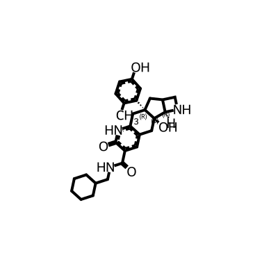 Cc1ccc(O)cc1[C@@]12Cc3[nH]c(=O)c(C(=O)NCC4CCCCC4)cc3C[C@@]1(O)[C@@H]1NCC1C2